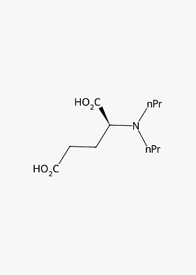 CCCN(CCC)[C@@H](CCC(=O)O)C(=O)O